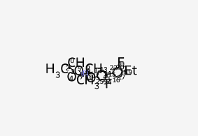 C=C(C)C(=O)O/C(C)=C(\C)Oc1ccc(-c2ccc(CC)c(F)c2)c(F)c1